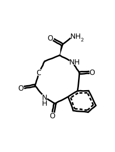 NC(=O)[C@@H]1CCC(=O)NC(=O)c2ccccc2C(=O)N1